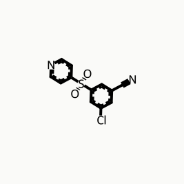 N#Cc1cc(Cl)cc(S(=O)(=O)c2ccncc2)c1